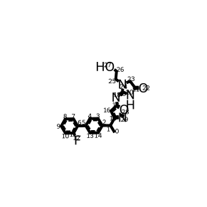 CC(c1ccc(-c2ccccc2F)cc1)c1cc(/N=C2\NC(=O)CN2CCO)on1